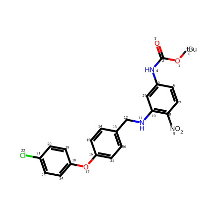 CC(C)(C)OC(=O)Nc1ccc([N+](=O)[O-])c(NCc2ccc(Oc3ccc(Cl)cc3)cc2)c1